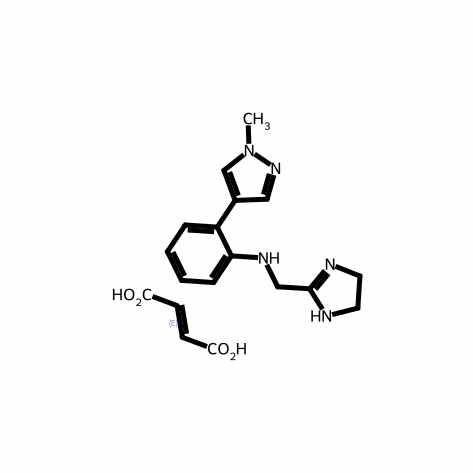 Cn1cc(-c2ccccc2NCC2=NCCN2)cn1.O=C(O)/C=C/C(=O)O